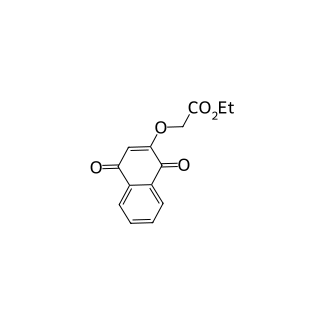 CCOC(=O)COC1=CC(=O)c2ccccc2C1=O